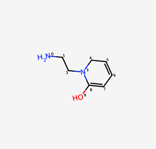 NCCN1CC=CC=C1O